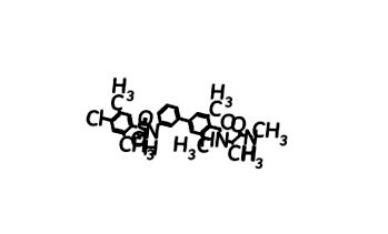 CNC(=O)[C@H](C)NC(=O)c1c(C)cc(-c2cccc(NS(=O)(=O)c3cc(C)c(Cl)cc3C)c2)cc1C